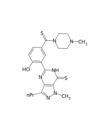 CCCc1nn(C)c2c(=S)[nH]c(-c3cc(C(=S)N4CCN(C)CC4)ccc3O)nc12